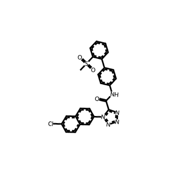 CS(=O)(=O)c1ccccc1-c1ccc(NC(=O)c2nnnn2-c2ccc3cc(Cl)ccc3c2)cc1